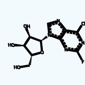 OC[C@H]1O[C@@H](n2cnc3c(Cl)nc(F)nc32)[C@H](O)[C@@H]1O